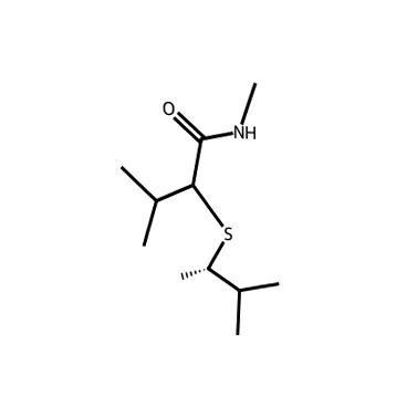 CNC(=O)C(S[C@@H](C)C(C)C)C(C)C